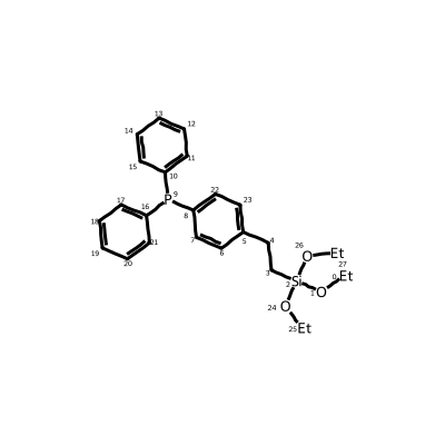 CCO[Si](CCc1ccc(P(c2ccccc2)c2ccccc2)cc1)(OCC)OCC